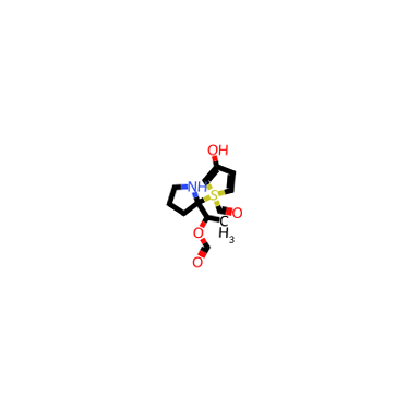 CC(OC=O)C1(S2(C=O)C=CC(O)=C2)CCCN1